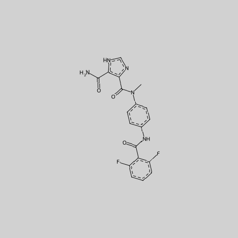 CN(C(=O)c1nc[nH]c1C(N)=O)c1ccc(NC(=O)c2c(F)cccc2F)cc1